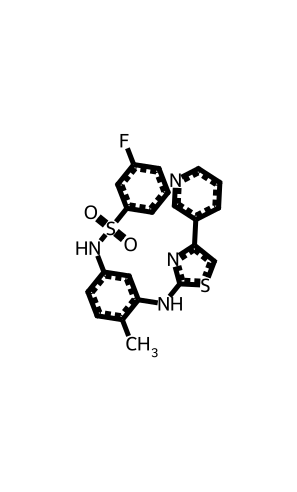 Cc1ccc(NS(=O)(=O)c2cccc(F)c2)cc1Nc1nc(-c2cccnc2)cs1